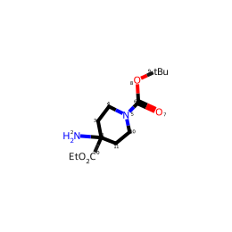 CCOC(=O)C1(N)CCN(C(=O)OC(C)(C)C)CC1